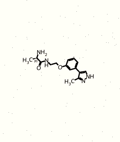 Cc1n[nH]cc1-c1c[c]cc(OCCNC(=O)[C@@H](C)N)c1